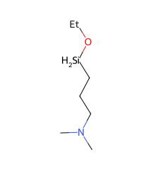 CCO[SiH2]CCCN(C)C